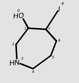 OC1CNCCCC1I